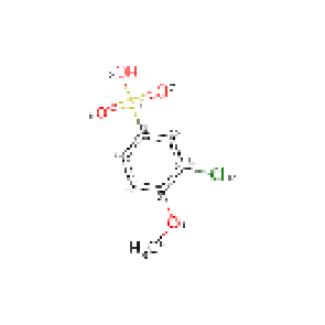 COc1ccc(S(=O)(=O)O)cc1Cl